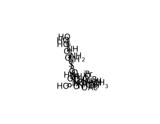 CCC(C)[C@H](NC(=O)[C@H]1CCCCN1C)C(=O)N(COC(=O)CC(C)C)[C@H](CC(OC(C)=O)c1nc(C(=O)N[C@@H](Cc2ccc(O)cc2)C[C@H](C)C(=O)NNC(=O)OCCSSCCNC(=O)[C@@H](N)CCC(=O)NCC[C@@H](O)C[C@H](O)CO)cs1)C(C)C